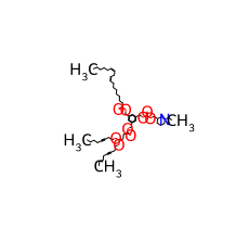 CCCCC#CCCOC(CCC(=O)OCc1cc(COC(=O)CCCCCCC/C=C\C/C=C\CCCCC)cc(COC(=O)OCC2CCCN(CC)C2)c1)OCCC#CCCCC